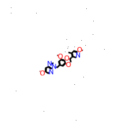 COc1cnc2c(c1)ncn2Cc1cc(OC)c2c(c1)OCC(c1cnc(OC)cc1C)O2